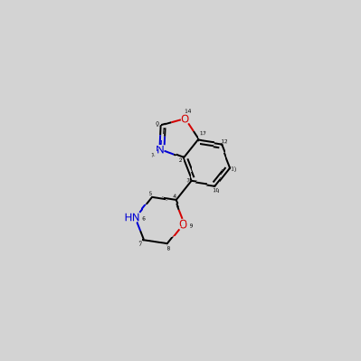 [c]1nc2c(C3CNCCO3)cccc2o1